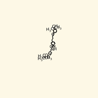 CC(C)(C)OC(=O)N1CC[C@H](CNc2nc3ccc(CCCCOc4cccc(C(C)(C)C)c4)cc3o2)C1